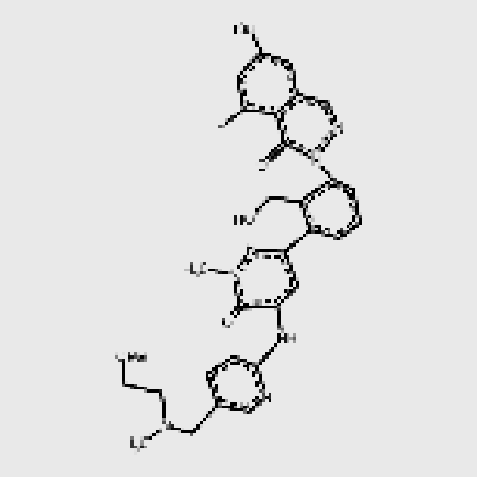 COCCN(C)Cc1ccc(Nc2cc(-c3cccc(-n4ncc5cc(C(C)(C)C)cc(F)c5c4=O)c3CO)nn(C)c2=O)nc1